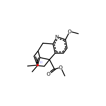 C/C=C1\C2C=C(C)CC1(C(=O)OC)c1ccc(OC)nc1C2